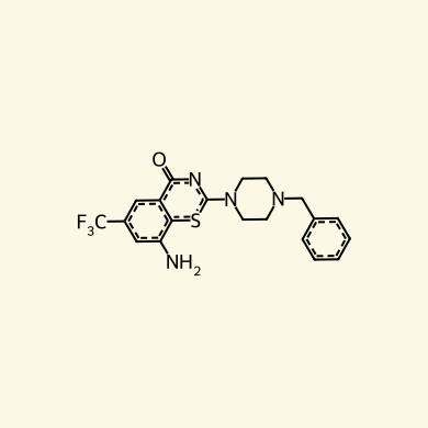 Nc1cc(C(F)(F)F)cc2c(=O)nc(N3CCN(Cc4ccccc4)CC3)sc12